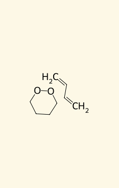 C1CCOOC1.C=CC=C